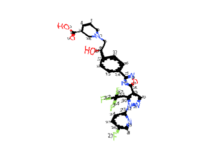 O=C(O)[C@H]1CCCN(C[C@H](O)c2ccc(-c3noc(-c4cnn(-c5ccc(F)cn5)c4C(F)(F)F)n3)cc2)C1